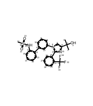 CC(C)(O)c1cn(-c2cccc(-c3ccccc3NS(C)(=O)=O)c2)c(-c2ccccc2C(F)(F)F)n1